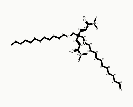 CCCCCCCCCCCCOCC(C=CC(=O)N(C)C)(C=CC(=O)N(C)C)COCCCCCCCCCCCC